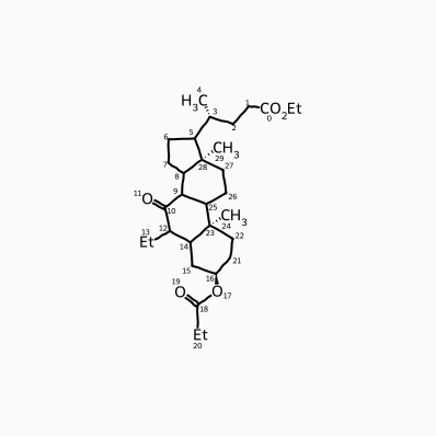 CCOC(=O)CC[C@@H](C)C1CCC2C3C(=O)C(CC)C4C[C@H](OC(=O)CC)CC[C@]4(C)C3CC[C@@]21C